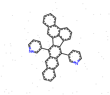 c1cncc(-c2c3c(c(-c4cccnc4)c4cc5ccccc5cc24)-c2cc4ccccc4c4cccc-3c24)c1